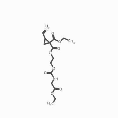 C=CC1CC1(C(=O)OCC)C(=O)OCCOC(=O)NCC(=O)OCC